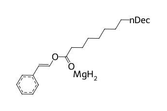 CCCCCCCCCCCCCCCCCC(=O)OC=Cc1ccccc1.[MgH2]